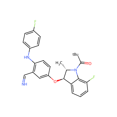 C[C@H]1[C@H](Oc2ccc(Nc3ccc(F)cc3)c(C=N)c2)c2cccc(F)c2N1C(=O)C(C)(C)C